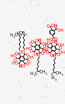 CC(C)CCCCCCOC(=O)c1c(C(=O)O)c(C(=O)O)c(C(=O)O)c(C(=O)O)c1C(=O)O.CC(C)CCCCCCOC(=O)c1c(C(=O)O)c(C(=O)O)c(C(=O)O)c(C(=O)O)c1C(=O)O.CCCCCCCCOC(=O)c1c(C(=O)O)c(C(=O)O)c(C(=O)O)c(C(=O)O)c1C(=O)OCCCCCCC(C)C.O=C(O)c1ccc(C(=O)O)c(C(=O)O)c1